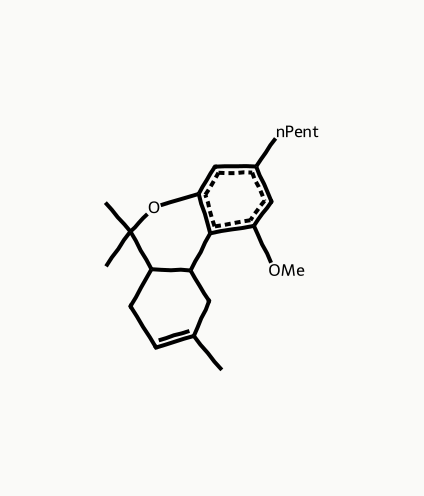 CCCCCc1cc(OC)c2c(c1)OC(C)(C)C1CC=C(C)CC21